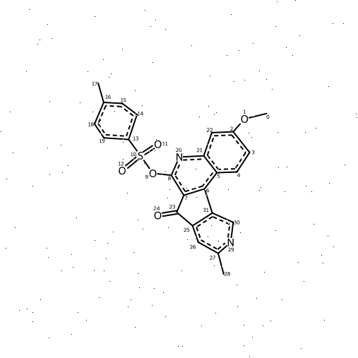 COc1ccc2c3c(c(OS(=O)(=O)c4ccc(C)cc4)nc2c1)C(=O)c1cc(C)ncc1-3